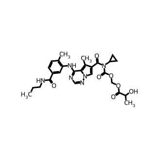 CCCNC(=O)c1ccc(C)c(Nc2ncnn3cc(C(=O)N(C(=O)OCOC(=O)C(C)O)C4CC4)c(C)c23)c1